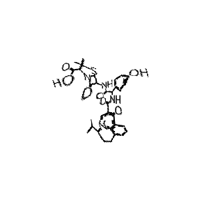 CC(C)C1CCc2cccc3c(=O)c(C(=O)NC(C(=O)NC4C(=O)N5C4SC(C)(C)C5C(=O)O)c4ccc(O)cc4)cn1c23